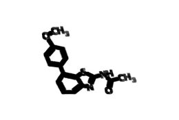 COc1ccc(-c2cccc3nc(NC(C)=O)sc23)cc1